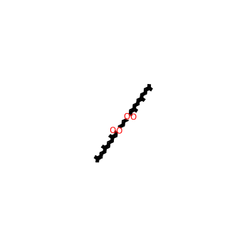 CC(C)=CCC/C(C)=C/CC/C(C)=C/C(=O)OCCCCOC(=O)/C=C(\C)CC/C=C(\C)CCC=C(C)C